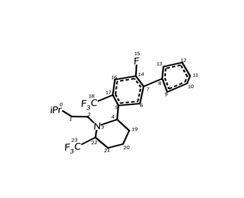 CC(C)CCN1C(c2cc(-c3ccccc3)c(F)cc2C(F)(F)F)CCCC1C(F)(F)F